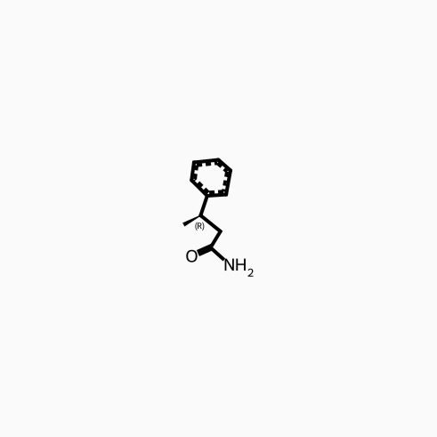 C[C@H](CC(N)=O)c1ccccc1